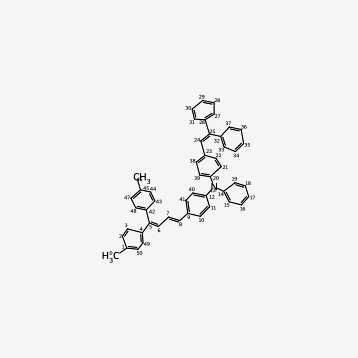 Cc1ccc(C(=CC=Cc2ccc(N(c3ccccc3)c3ccc(C=C(c4ccccc4)c4ccccc4)cc3)cc2)c2ccc(C)cc2)cc1